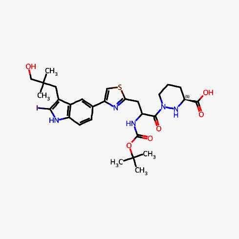 CC(C)(CO)Cc1c(I)[nH]c2ccc(-c3csc(CC(NC(=O)OC(C)(C)C)C(=O)N4CCC[C@@H](C(=O)O)N4)n3)cc12